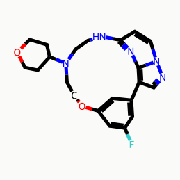 Fc1cc2cc(c1)-c1cnn3ccc(nc13)NCCN(C1CCOCC1)CCO2